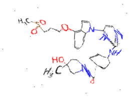 CC1(O)CCN(C(=O)[C@H]2CC[C@H](Nc3nccc(-n4ccc5c(OCCCS(C)(=O)=O)cccc54)n3)CC2)CC1